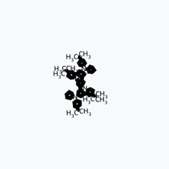 CC(C)c1ccc(N(c2ccccc2)c2cc3c4cc(C(C)(C)C)ccc4n4c5cc6c7cc(N(c8ccccc8)c8ccc(C(C)C)cc8)cc8c9cc(C(C)(C)C)ccc9n(c6cc5c(c2)c34)c87)cc1